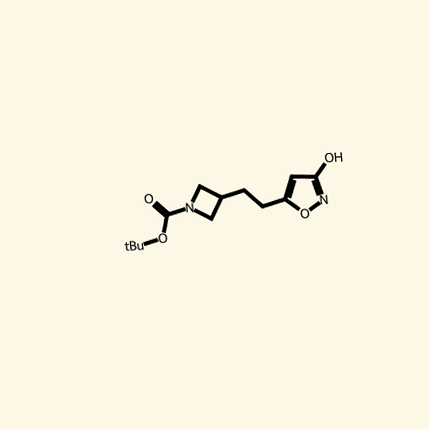 CC(C)(C)OC(=O)N1CC(CCc2cc(O)no2)C1